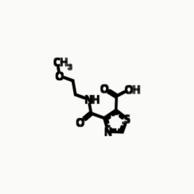 COCCNC(=O)c1ncsc1C(=O)O